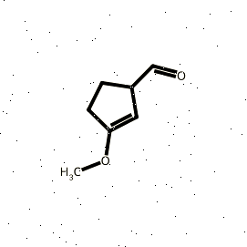 COC1=CC(C=O)CC1